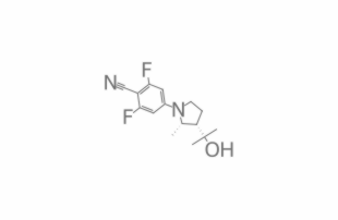 C[C@H]1[C@@H](C(C)(C)O)CCN1c1cc(F)c(C#N)c(F)c1